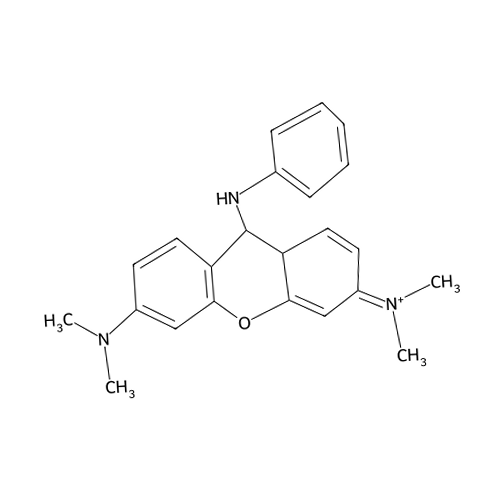 CN(C)c1ccc2c(c1)OC1=CC(=[N+](C)C)C=CC1C2Nc1ccccc1